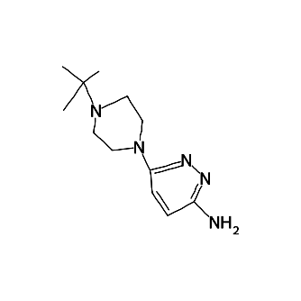 CC(C)(C)N1CCN(c2ccc(N)nn2)CC1